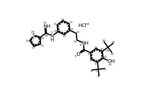 CC(C)(C)c1cc(C(=O)NCCc2cccc(NC(=N)c3cccs3)c2)cc(C(C)(C)C)c1O.Cl